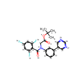 CC(C)(C)OC(=O)CN(C(=O)c1c(F)cc(F)cc1F)c1cccc(-c2cncnc2)c1